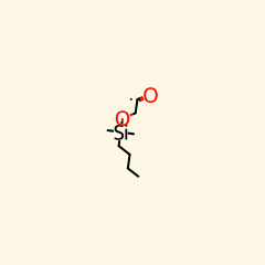 CCCC[Si](C)(C)OC[C]=O